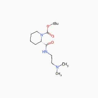 CN(C)CCNC(=O)[C@@H]1CCCCN1C(=O)OC(C)(C)C